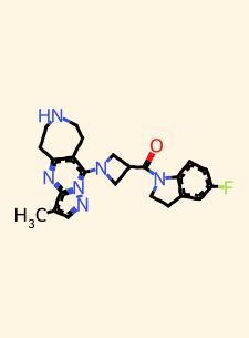 Cc1cnn2c(N3CC(C(=O)N4CCc5cc(F)ccc54)C3)c3c(nc12)CCNCC3